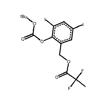 CC(C)(C)OC(=O)Oc1c(I)cc(I)cc1COC(=O)C(C)(F)F